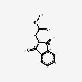 O=C(CN1C(=O)c2ccccc2C1=O)NF